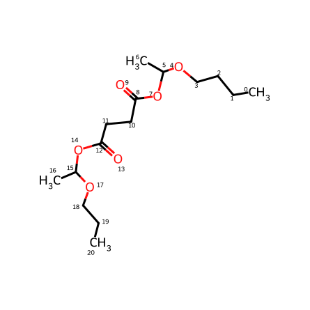 CCCCOC(C)OC(=O)CCC(=O)OC(C)OCCC